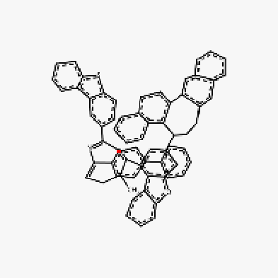 CC1C/C=C(c2ccc(-c3ccccc3)cc2)/N=C(c2ccc3sc4ccccc4c3c2)\N=C/1c1cc(C2CCc3cc4ccccc4cc3-c3ccc4ccccc4c32)cc2oc3ccccc3c12